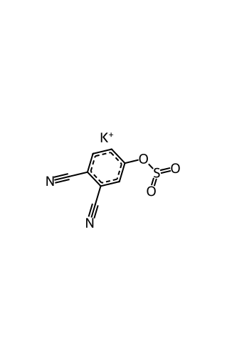 N#Cc1ccc(O[S-](=O)=O)cc1C#N.[K+]